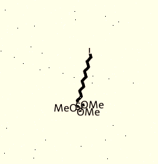 CO[Si](CCCCCCCCCCI)(OC)OC